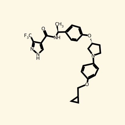 C[C@H](NC(=O)c1c[nH]nc1C(F)(F)F)c1ccc(O[C@@H]2CCN(c3ccc(OCC4CC4)cc3)C2)cc1